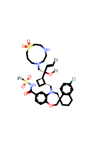 CC/C=C/[C@@](CN1CCCS(=O)(=O)CCNCC1)(OCC)[C@@H]1CC[C@H]1CN1C[C@@]2(CCCc3cc(Cl)ccc32)COc2ccc(C(=O)NS(=O)(=O)C(C)C)cc21